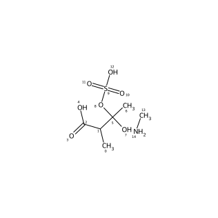 CC(C(=O)O)C(C)(O)OS(=O)(=O)O.CN